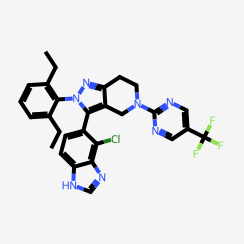 CCc1cccc(CC)c1-n1nc2c(c1-c1ccc3[nH]cnc3c1Cl)CN(c1ncc(C(F)(F)F)cn1)CC2